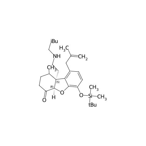 C=C(C)Cc1ccc(O[Si](C)(C)C(C)(C)C)c2c1[C@]1(CCNCC(C)CC)C(C)CCC(=O)[C@@H]1O2